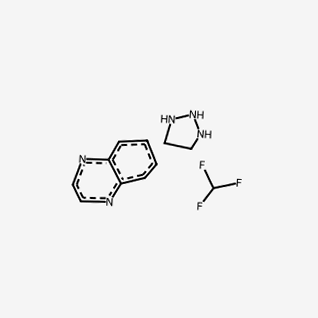 C1CNNN1.FC(F)F.c1ccc2nccnc2c1